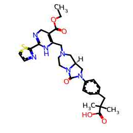 CCOC(=O)C1=C(CN2CCN3C(=O)N(c4ccc(CC(C)(C)C(=O)O)cc4)C[C@@H]3C2)NC(c2nccs2)=NC1